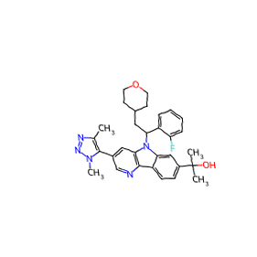 Cc1nnn(C)c1-c1cnc2c3ccc(C(C)(C)O)cc3n(C(CC3CCOCC3)c3ccccc3F)c2c1